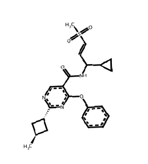 CS(=O)(=O)/C=C/C(NC(=O)c1cnc([C@H]2C[C@H](C)C2)nc1Oc1ccccc1)C1CC1